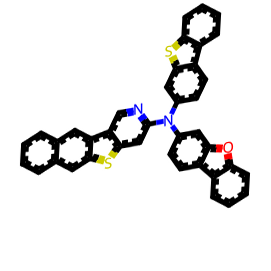 c1ccc2cc3c(cc2c1)sc1cc(N(c2ccc4c(c2)oc2ccccc24)c2ccc4c(c2)sc2ccccc24)ncc13